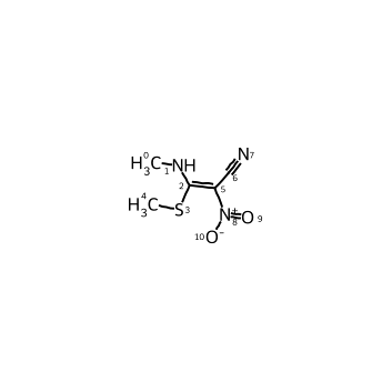 CN/C(SC)=C(\C#N)[N+](=O)[O-]